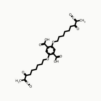 CC(=C=O)C(=O)CCCCCCOc1cc(C(=O)O)c(OCCCCCCC(=O)C(C)=C=O)cc1C(=O)O